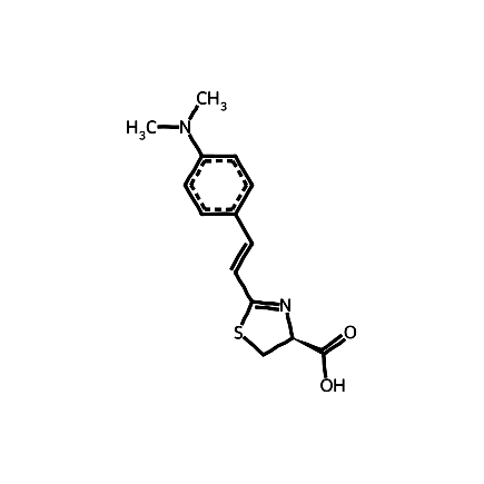 CN(C)c1ccc(/C=C/C2=N[C@@H](C(=O)O)CS2)cc1